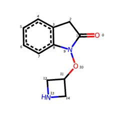 O=C1Cc2ccccc2N1OC1CNC1